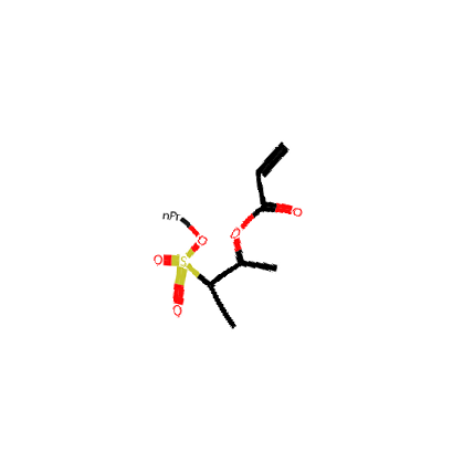 C=CC(=O)OC(C)C(C)S(=O)(=O)OCCC